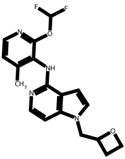 Cc1ccnc(OC(F)F)c1Nc1nccc2c1ccn2CC1CCO1